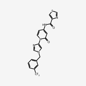 O=C(Nc1ccn(-c2cn(Cc3cccc(C(F)(F)F)c3)cn2)c(=O)c1)c1cscn1